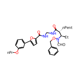 CCCCC[C@@H](C(=O)NCNC(=O)c1ccc(-c2cccc(OCCC)c2)o1)[C@@H](CC)N(C=O)OCc1ccccc1